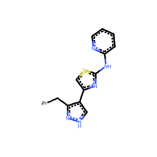 CC(C)Cc1n[nH]cc1-c1csc(Nc2ccccn2)n1